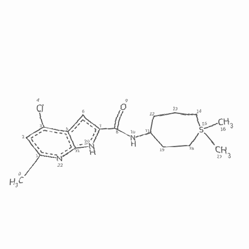 Cc1cc(Cl)c2cc(C(=O)NC3CCCS(C)(C)CC3)[nH]c2n1